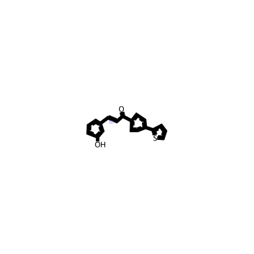 O=C(/C=C/c1cccc(O)c1)c1ccc(-c2cccs2)cc1